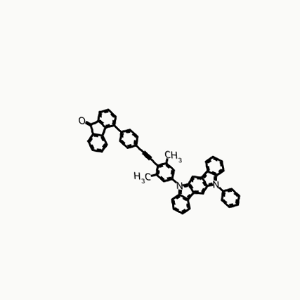 Cc1cc(-n2c3ccccc3c3cc4c(cc32)c2ccccc2n4-c2ccccc2)cc(C)c1C#Cc1ccc(-c2cccc3c2-c2ccccc2C3=O)cc1